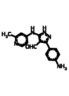 Cc1cc(Nc2[nH]nc(-c3ccc(N)cc3)c2C=O)ccn1